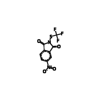 O=C1c2ccc([N+](=O)[O-])cc2C(=O)N1SC(F)(F)F